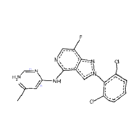 C=C(C)/C=C(\N=C/N)Nc1ncc(F)c2nn(-c3c(Cl)cccc3Cl)cc12